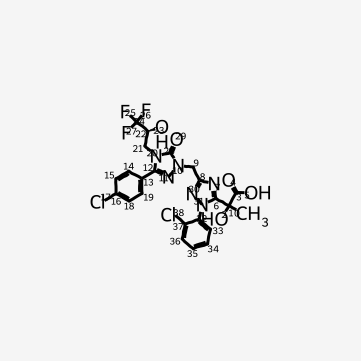 CC(O)(C(=O)O)c1nc(Cn2nc(-c3ccc(Cl)cc3)n(C[C@H](O)C(F)(F)F)c2=O)nn1-c1ccccc1Cl